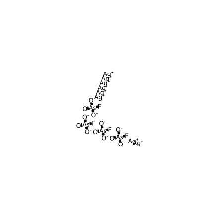 O=[As]([O-])([O-])F.O=[As]([O-])([O-])F.O=[As]([O-])([O-])F.O=[As]([O-])([O-])F.[Ag+].[Ag+].[Ag+].[Ag+].[Ag+].[Ag+].[Ag+].[Ag+]